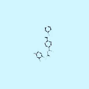 CCN(C(=O)CC(N)c1ccc(C(=O)Nc2ccncc2)cc1)c1ccc(Cl)cc1Cl